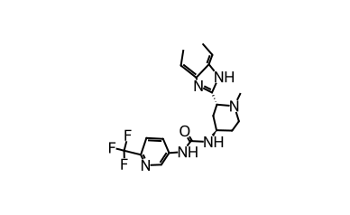 C/C=c1/nc([C@H]2C[C@H](NC(=O)Nc3ccc(C(F)(F)F)nc3)CCN2C)[nH]/c1=C/C